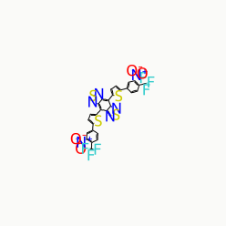 O=[N+]([O-])c1cc(-c2ccc(-c3c4c(c(-c5ccc(-c6ccc(C(F)(F)F)c([N+](=O)[O-])c6)s5)c5nsnc35)N=S=N4)s2)ccc1C(F)(F)F